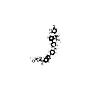 Cn1c(=O)n(C2CCC(=O)NC2=O)c2cccc(C3CCN(C[C@H]4CC[C@H](n5cc6cc(NC(=O)OC(C)(C)C)ccc6n5)CC4)CC3)c21